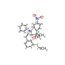 C=CCc1cccc2c1OC1(C=C2)N(c2ccccc2)c2cc([N+](=O)[O-])ccc2C1(C)C